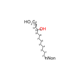 CCCCCCCCCCCCCCCCCCC(O)C=CC(=O)O